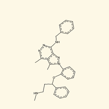 CNCCC(Oc1ccccc1-n1nc2c(NCc3ccccc3)nnc(C)c2c1C)c1ccccc1